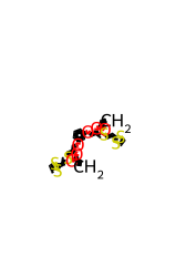 C=CC(=O)OC(COc1cccc(OCC(CSCCC2SCCS2)OC(=O)C=C)c1)CSCCC1SCCS1